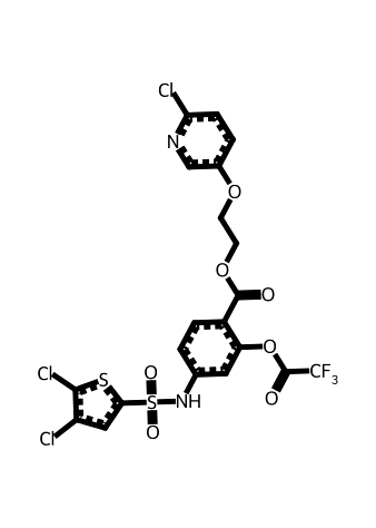 O=C(OCCOc1ccc(Cl)nc1)c1ccc(NS(=O)(=O)c2cc(Cl)c(Cl)s2)cc1OC(=O)C(F)(F)F